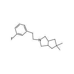 CC1(C)CC2CN(CCc3cccc(F)c3)CC2C1